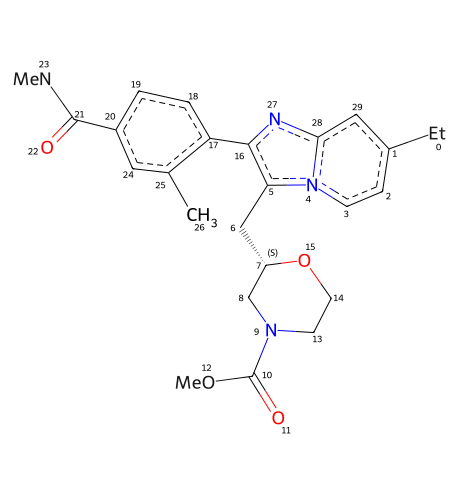 CCc1ccn2c(C[C@H]3CN(C(=O)OC)CCO3)c(-c3ccc(C(=O)NC)cc3C)nc2c1